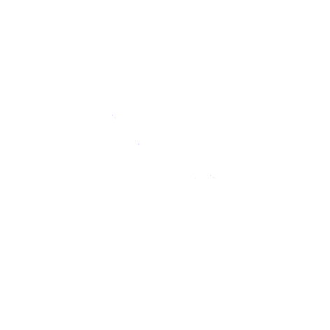 Cc1cc(-c2ccccc2C(N)=O)c(C)c(C)c1N1CCN(C)CC1